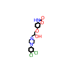 O=c1[nH]c2ccc(OC[C@H](O)CN3CCN(c4ccc(Cl)c(Cl)c4)CC3)cc2o1